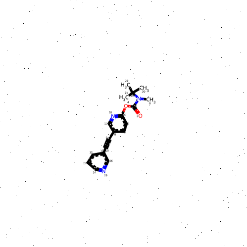 CN(C(=O)Oc1ccc(C#Cc2cccnc2)cn1)C(C)(C)C